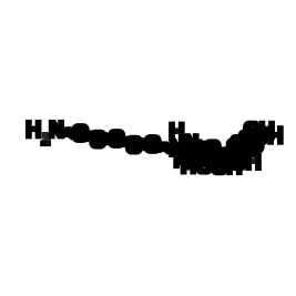 COP(=O)(OP(=O)(O)O)OP(=O)(O)OCC1OC(n2cnc3c(NCCCOCCOCCOCCOCCOCCCN)ncnc32)C(O)C1O